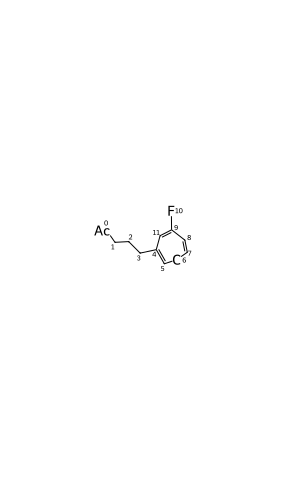 CC(=O)CCCC1=CCC=CC(F)=C1